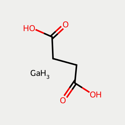 O=C(O)CCC(=O)O.[GaH3]